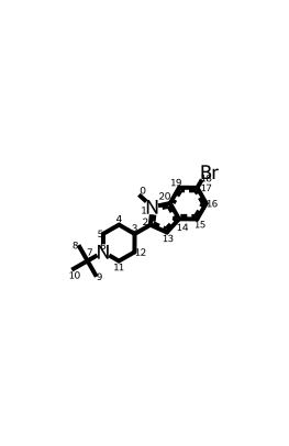 Cn1c(C2CCN(C(C)(C)C)CC2)cc2ccc(Br)cc21